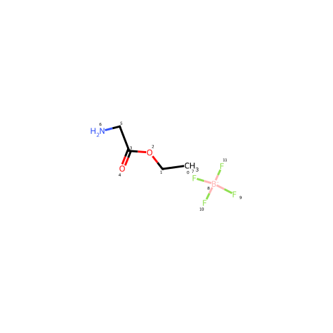 CCOC(=O)CN.F[B-](F)(F)F